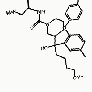 CNCC(C)NC(=O)N1CCCC(C(O)(CCCCOC)c2cc(C)ccc2Oc2ccc(C)cc2)C1